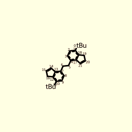 CC(C)(C)c1ccc(CCc2ccc(C(C)(C)C)c3c2C=CC3)c2c1CC=C2